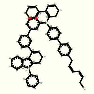 IC/C=C\C=C/Cc1ccc(-c2ccc(N(C3=C(C4=CCCC=C4)C=CCC3)c3cccc(-c4cccc(C5=CCCc6c5c5ccccc5n6-c5ccccc5)c4)c3)cc2)cc1